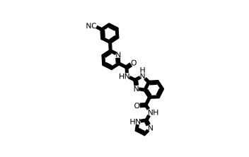 N#Cc1cccc(-c2cccc(C(=O)Nc3nc4c(C(=O)Nc5ncc[nH]5)cccc4[nH]3)n2)c1